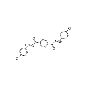 O=C(ONc1ccc(Cl)cc1)c1ccc(C(=O)ONc2ccc(Cl)cc2)cc1